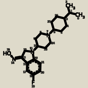 CC(C)C1CCC(N2CCC(N3C/C(=N\O)c4cc(F)ccc43)CC2)CC1